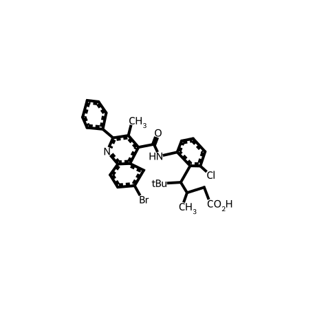 Cc1c(-c2ccccc2)nc2ccc(Br)cc2c1C(=O)Nc1cccc(Cl)c1C(C(C)CC(=O)O)C(C)(C)C